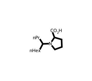 CCCCCCC(CCC)N1CCCC1C(=O)O